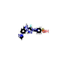 CN(Cc1ccc(-n2cccn2)cc1)c1ncnc(NCc2ccc(SO)cc2)c1F